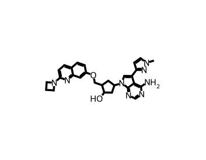 Cn1ccc(-c2cn(C3CC(O)C(COc4ccc5ccc(N6CCC6)nc5c4)C3)c3ncnc(N)c23)n1